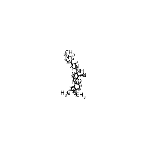 CCN1CCN(c2ccc(Nc3ncnc(Oc4ccc5c(cc(C)n5CC)c4F)c3C#N)nc2)CC1